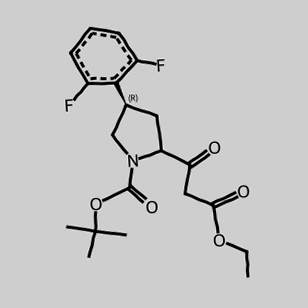 CCOC(=O)CC(=O)C1C[C@H](c2c(F)cccc2F)CN1C(=O)OC(C)(C)C